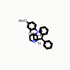 COc1ccc(N(C)[C@@H]2C3CCN(CC3)[C@@H]2C(c2ccccc2)c2ccccc2)c(OC)c1